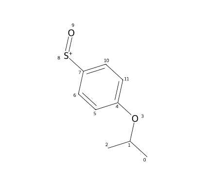 CC(C)Oc1ccc([S+]=O)cc1